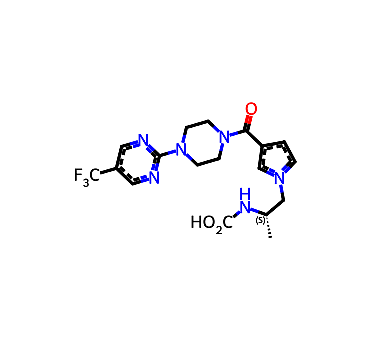 C[C@@H](Cn1ccc(C(=O)N2CCN(c3ncc(C(F)(F)F)cn3)CC2)c1)NC(=O)O